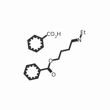 CCN=CCCCOC(=O)c1ccccc1.O=C(O)c1ccccc1